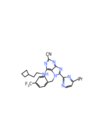 CC(C)c1ccnc(-c2nc3nc(C#N)nc(NCCC4CCC4)c3n2Cc2ccc(C(F)(F)F)cc2)n1